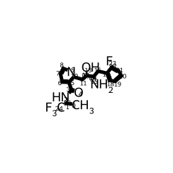 C[C@H](NC(=O)c1cccnc1C[C@H](O)[C@H](N)Cc1ccccc1F)C(F)(F)F